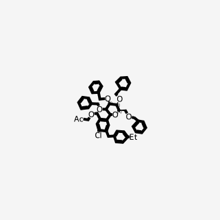 CCc1ccc(Cc2cc(C3O[C@H](COCc4ccccc4)[C@@H](OCc4ccccc4)[C@H](OCc4ccccc4)C3OCc3ccccc3)c(COCC(C)=O)cc2Cl)cc1